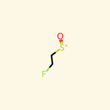 O=[S+]CCF